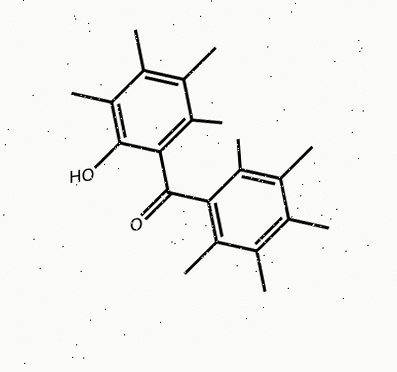 Cc1c(C)c(C)c(C(=O)c2c(C)c(C)c(C)c(C)c2O)c(C)c1C